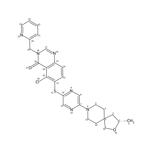 C[C@H]1CC2(CCN(c3cnc(Sc4ccc5ncn(Cc6ccccn6)c(=O)c5c4Cl)cn3)CC2)CO1